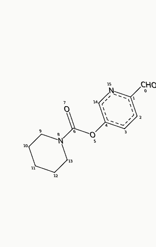 O=Cc1ccc(OC(=O)N2CCCCC2)cn1